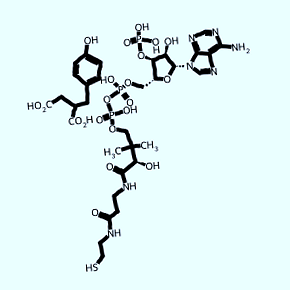 CC(C)(COP(=O)(O)OP(=O)(O)OC[C@H]1O[C@@H](n2cnc3c(N)ncnc32)[C@H](O)[C@@H]1OP(=O)(O)O)[C@@H](O)C(=O)NCCC(=O)NCCS.O=C(O)CC(Cc1ccc(O)cc1)C(=O)O